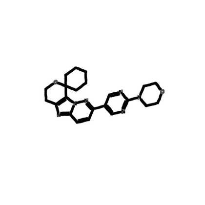 c1nc(N2CCOCC2)ncc1-c1ccc2nc3c(n2n1)C1(CCCCC1)OCC3